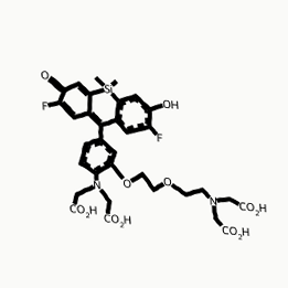 C[Si]1(C)C2=CC(=O)C(F)=CC2=C(c2ccc(N(CC(=O)O)CC(=O)O)c(OCCOCCN(CC(=O)O)CC(=O)O)c2)c2cc(F)c(O)cc21